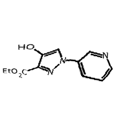 CCOC(=O)c1nn(-c2cccnc2)cc1O